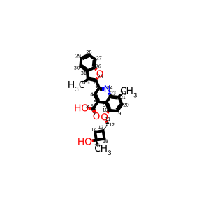 Cc1c(-c2cc(C(=O)O)c3c(OC[C@H]4C[C@@](C)(O)C4)ccc(C)c3n2)oc2ccccc12